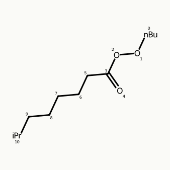 CCCCOOC(=O)CCCCCC(C)C